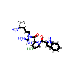 Cl.N=C(N)N(CCC[C@H](N)C=O)C(=O)[C@@H]1CCCN1C(=O)c1cc2ccccc2[nH]1